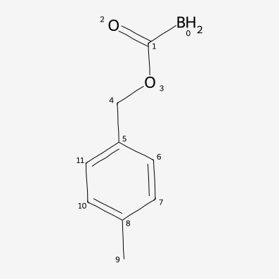 BC(=O)OCc1ccc(C)cc1